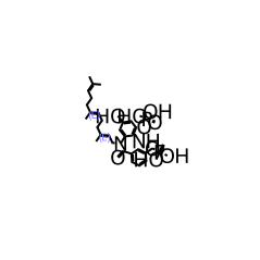 C=P(O)(O)Oc1cccc2c1Nc1c(OP(=O)(O)O)cc(O)cc1N(C/C=C(\C)CC/C=C(\C)CCC=C(C)C)C2=O